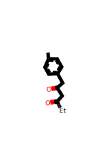 CCC(=O)CC(=O)Cc1ccc(C)cc1